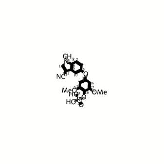 COc1cc(Oc2ccc3c(c2)c(C#N)cn3C)cc(OC)c1OP(=O)(O)O